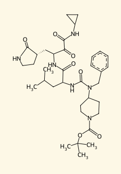 CC(C)CC(NC(=O)N(Cc1ccccc1)C1CCN(C(=O)OC(C)(C)C)CC1)C(=O)NC(C[C@@H]1CCNC1=O)C(=O)C(=O)NC1CC1